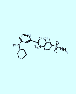 CCCN(c1cc(C(=O)Nc2ccc(S(N)(=O)=O)cc2C)ncn1)C1CCCCC1